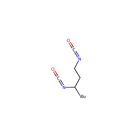 CCC(C)C(CCN=C=O)N=C=O